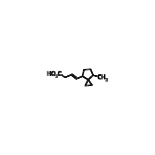 CC1CCC(/C=C/CC(=O)O)C12CC2